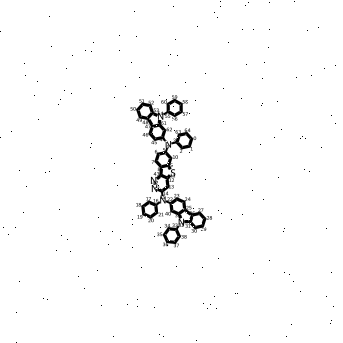 c1ccc(N(c2ccc3c(c2)sc2cc(N(c4ccccc4)c4ccc5c6ccccc6n(-c6ccccc6)c5c4)nnc23)c2ccc3c4ccccc4n(-c4ccccc4)c3c2)cc1